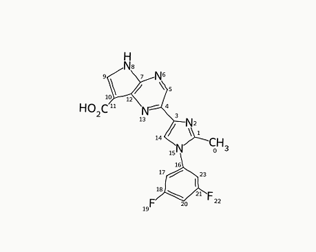 Cc1nc(-c2cnc3[nH]cc(C(=O)O)c3n2)cn1-c1cc(F)cc(F)c1